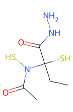 CCC(S)(C(=O)NN)N(S)C(C)=O